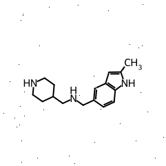 Cc1cc2cc(CNCC3CCNCC3)ccc2[nH]1